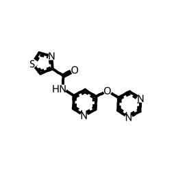 O=C(Nc1cncc(Oc2cncnc2)c1)c1cscn1